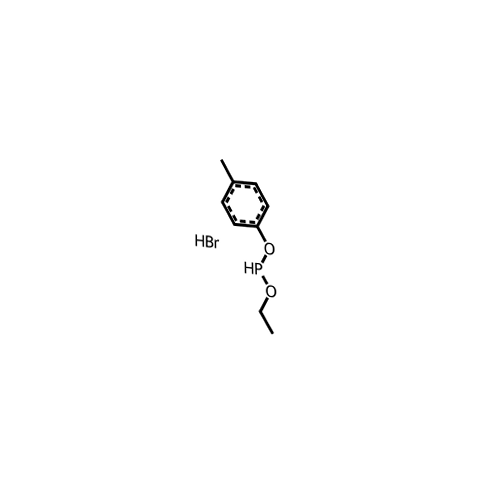 Br.CCOPOc1ccc(C)cc1